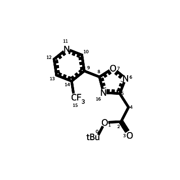 CC(C)(C)OC(=O)Cc1noc(-c2cnccc2C(F)(F)F)n1